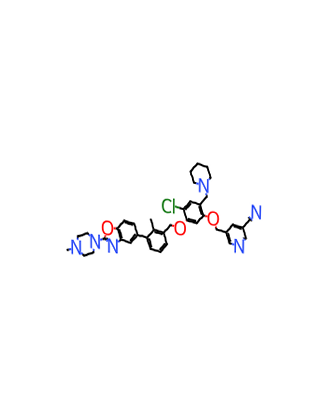 Cc1c(COc2cc(OCc3cncc(C#N)c3)c(CN3CCCCC3)cc2Cl)cccc1-c1ccc2oc(N3CCN(C)CC3)nc2c1